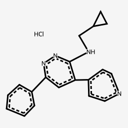 Cl.c1ccc(-c2cc(-c3ccncc3)c(NCC3CC3)nn2)cc1